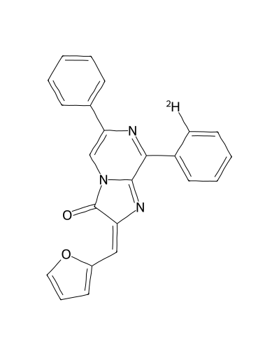 [2H]c1ccccc1C1=NC(c2ccccc2)=CN2C(=O)C(=Cc3ccco3)N=C12